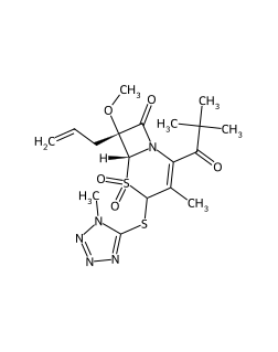 C=CC[C@@]1(OC)C(=O)N2C(C(=O)C(C)(C)C)=C(C)C(Sc3nnnn3C)S(=O)(=O)[C@@H]21